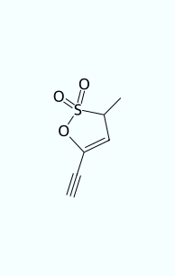 C#CC1=CC(C)S(=O)(=O)O1